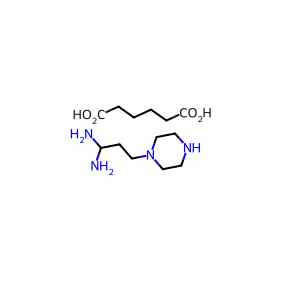 NC(N)CCN1CCNCC1.O=C(O)CCCCC(=O)O